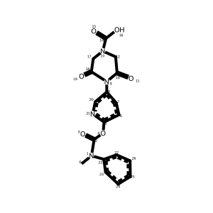 CN(C(=O)Oc1ccc(N2C(=O)CN(C(=O)O)CC2=O)cn1)c1ccccc1